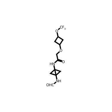 O=CNC12CC1(NC(=O)COC1CC(OC(F)(F)F)C1)C2